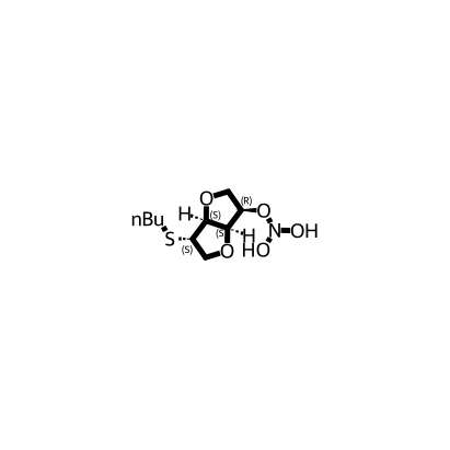 CCCCS[C@H]1CO[C@H]2[C@@H]1OC[C@H]2ON(O)O